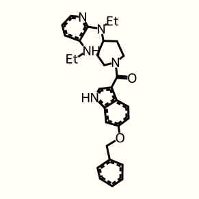 CCNc1cccnc1N(CC)C1CCN(C(=O)c2c[nH]c3cc(OCc4ccccc4)ccc23)CC1